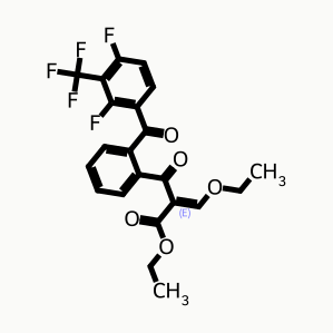 CCO/C=C(/C(=O)OCC)C(=O)c1ccccc1C(=O)c1ccc(F)c(C(F)(F)F)c1F